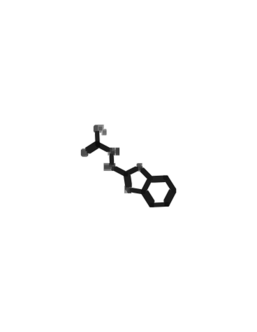 O=C(NNc1nc2ccccc2s1)C(F)(F)F